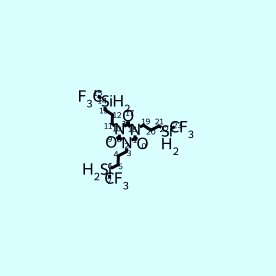 O=c1n(CCC[SiH2]C(F)(F)F)c(=O)n(CCC[SiH2]C(F)(F)F)c(=O)n1CCC[SiH2]C(F)(F)F